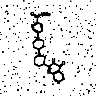 CNC(=O)c1ccc(N2CCC(N3CCCC(c4nc5cnccc5c(=O)[nH]4)C3)CC2)cn1